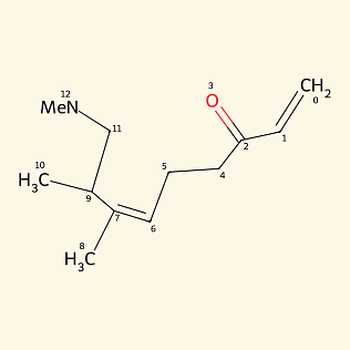 C=CC(=O)CC/C=C(/C)C(C)CNC